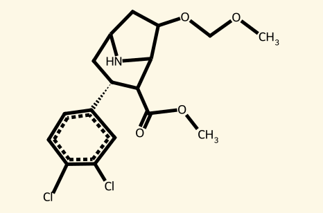 COCOC1CC2C[C@@H](c3ccc(Cl)c(Cl)c3)C(C(=O)OC)C1N2